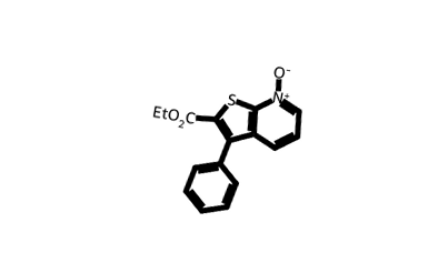 CCOC(=O)c1sc2c(ccc[n+]2[O-])c1-c1ccccc1